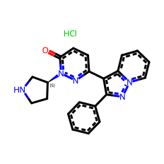 Cl.O=c1ccc(-c2c(-c3ccccc3)nn3ccccc23)nn1[C@H]1CCNC1